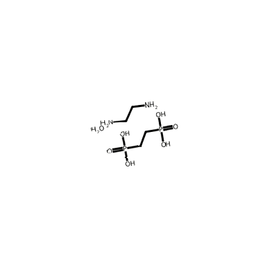 NCCN.O.O=P(O)(O)CCP(=O)(O)O